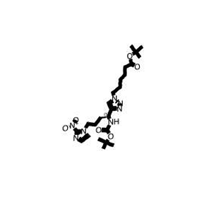 CC(C)(C)OC(=O)CCCCCn1cc([C@H](CCCn2ccnc2[N+](=O)[O-])NC(=O)OC(C)(C)C)nn1